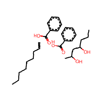 C=CCCCCCCC.CCCC(O)CC(C)O.O=C(O)c1ccccc1.O=C(O)c1ccccc1